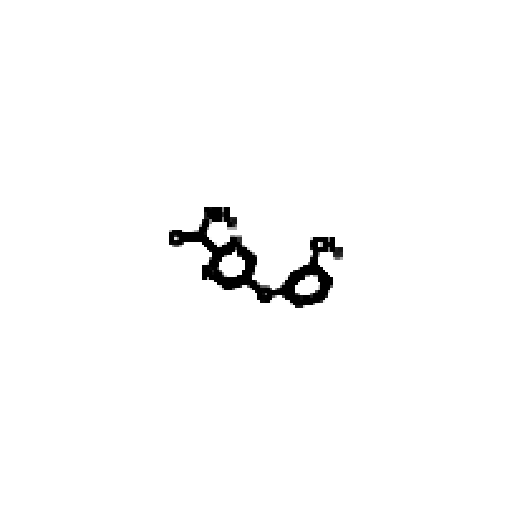 Cc1cccc(Oc2cnc(C(N)=O)nc2)c1